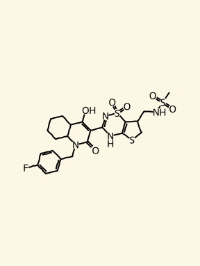 CS(=O)(=O)NCC1CSC2=C1S(=O)(=O)N=C(C1=C(O)C3CCCCC3N(Cc3ccc(F)cc3)C1=O)N2